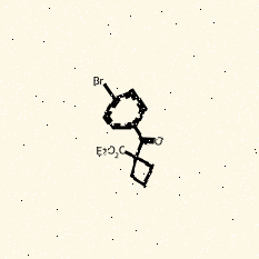 CCOC(=O)C1(C(=O)c2ccc(Br)cc2)CCC1